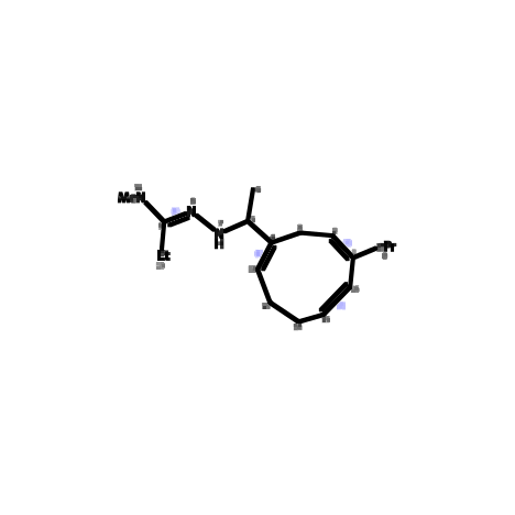 CCCC1=C/C/C(C(C)N/N=C(\CC)NC)=C\CC/C=C\1